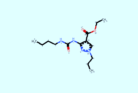 CCCCNC(=O)Nc1nn(CCC)cc1C(=O)OCC